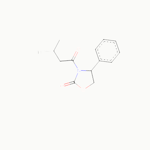 CC(C)[C@H](C)CC(=O)N1C(=O)OCC1c1ccccc1